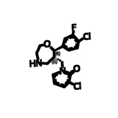 O=c1c(Cl)cccn1C[C@@H]1CNCCO[C@H]1c1ccc(Cl)c(F)c1